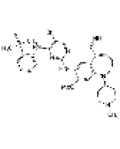 COc1cc2c(cc1Nc1ncc(Br)c(Nc3ccccc3P(C)(C)=S)n1)C(C=N)=CCCN2C1CCN(C)CC1